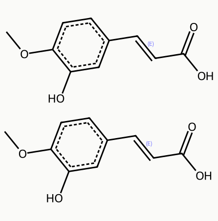 COc1ccc(/C=C/C(=O)O)cc1O.COc1ccc(/C=C/C(=O)O)cc1O